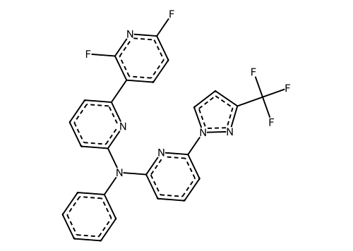 Fc1ccc(-c2cccc(N(c3ccccc3)c3cccc(-n4ccc(C(F)(F)F)n4)n3)n2)c(F)n1